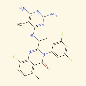 Cc1ccc(F)c2nc(C(C)Nc3nc(N)nc(N)c3C#N)n(-c3cc(F)cc(F)c3)c(=O)c12